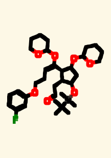 CC(C)(C)[Si](C)(C)O[C@@H]1C[C@H](OC2CCCCO2)[C@H](/C(=C\CCOc2cccc(F)c2)OC2CCCCO2)[C@@H]1CC=O